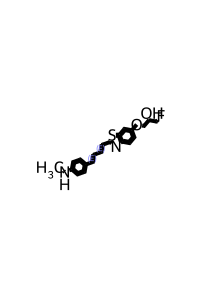 CNc1ccc(/C=C/C=C/c2nc3ccc(OCC(O)CF)cc3s2)cc1